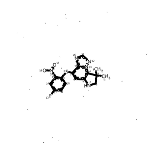 CC1(C)CNc2cc(Sc3ccc(F)cc3[N+](=O)[O-])c3ncnn3c21